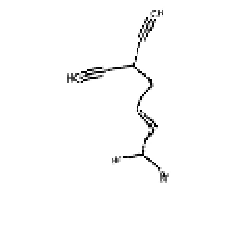 C#CC(C#C)CC=CC(Br)Br